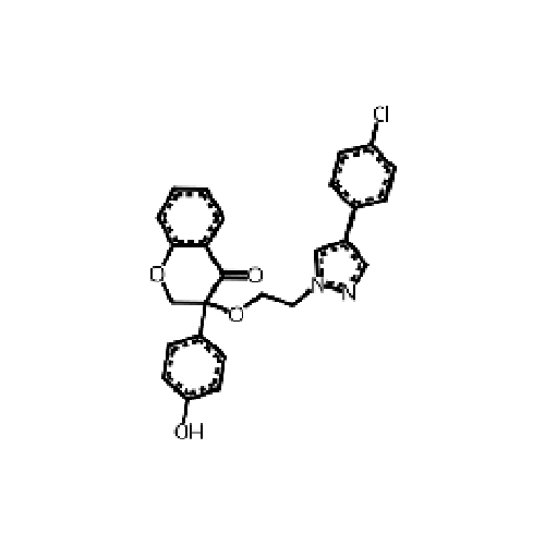 O=C1c2ccccc2OCC1(OCCn1cc(-c2ccc(Cl)cc2)cn1)c1ccc(O)cc1